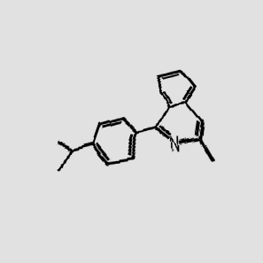 Cc1cc2ccccc2c(-c2ccc(C(C)C)cc2)n1